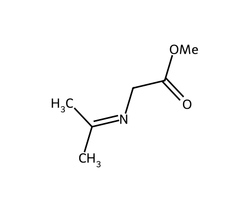 COC(=O)CN=C(C)C